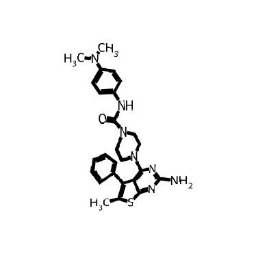 Cc1sc2nc(N)nc(N3CCN(C(=O)Nc4ccc(N(C)C)cc4)CC3)c2c1-c1ccccc1